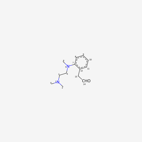 CN(C)CCN(C)c1ccccc1CC=O